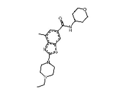 CCN1CCN(c2nc3c(C)cc(C(=O)NC4CCOCC4)cc3s2)CC1